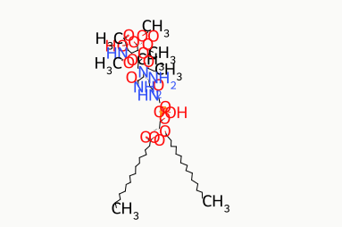 CCCCCCCCCCCCCCCC(=O)OC[C@H](COP(=O)(O)OCCNC(=O)CC[C@H](C(N)=O)N(CC(C)O[C@H]1[C@H](OC(C)=O)[C@@H](COC(C)=O)O[C@@](O)(C(C)=O)[C@@H]1NC(C)=O)C(=O)[C@H](C)N)OC(=O)CCCCCCCCCCCCCCC